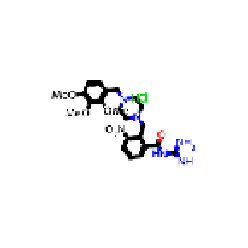 COc1ccc(CN2CCN(Cc3c(C(=O)NC(=N)N)cccc3[N+](=O)[O-])CC2)c(OC)c1OC.Cl